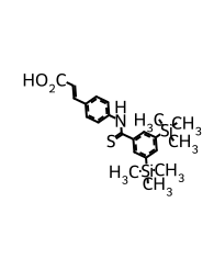 C[Si](C)(C)c1cc(C(=S)Nc2ccc(/C=C/C(=O)O)cc2)cc([Si](C)(C)C)c1